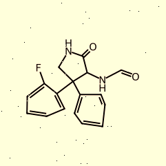 O=CNC1C(=O)NCC1(c1ccccc1)c1ccccc1F